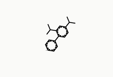 CC(C)c1ccc(-c2cc[c]cc2)c(C(C)C)c1